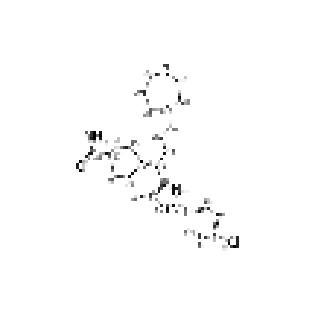 Cc1oc(-c2ccc(Cl)cc2)nc1C(CCCN1CCCCCC1)N1CCC(C(N)=O)CC1